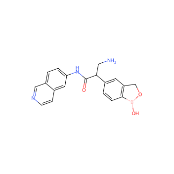 NCC(C(=O)Nc1ccc2cnccc2c1)c1ccc2c(c1)COB2O